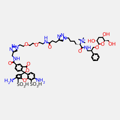 C[N+](C)(C)[C@@H](CCCCn1cc(CCC(=O)NCCOCCOCCn2cc(CNC(=O)c3ccc4c(c3)C(=O)OC43c4ccc(N)c(S(=O)(=O)O)c4Oc4c3ccc(N)c4S(=O)(=O)O)nn2)nn1)C(=O)NCC(CO[C@@H]1O[C@H](CO)[C@@H](O)C[C@H]1O)c1ccccc1